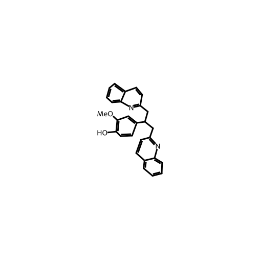 COc1cc(C(Cc2ccc3ccccc3n2)Cc2ccc3ccccc3n2)ccc1O